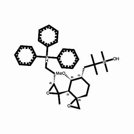 CO[C@@H]1[C@H](CC(C)(C)[Si](C)(C)O)CC[C@]2(CO2)[C@H]1C1(C)O[C@@H]1CC[PH](c1ccccc1)(c1ccccc1)c1ccccc1